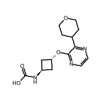 O=C(O)N[C@H]1C[C@H](Oc2nccnc2C2CCOCC2)C1